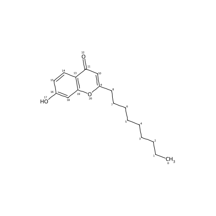 CCCCCCCCCc1cc(=O)c2ccc(O)cc2o1